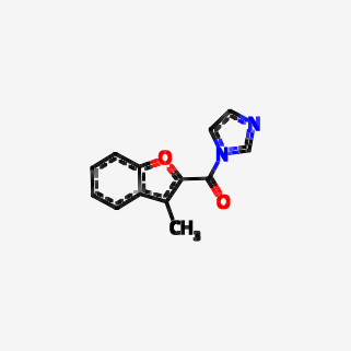 Cc1c(C(=O)n2ccnc2)oc2ccccc12